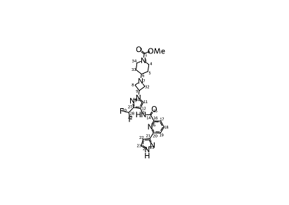 COC(=O)N1CCC(N2CC(n3cc(NC(=O)c4cccc(-c5cc[nH]n5)n4)c(C(F)F)n3)C2)CC1